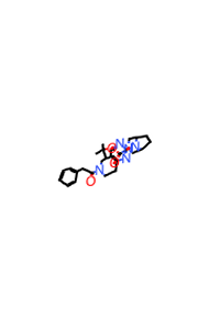 CC(C)(C)OC(=O)N1CC2CCC(C1)N2c1ncc2c(n1)CCN(C(=O)Cc1ccccc1)C2